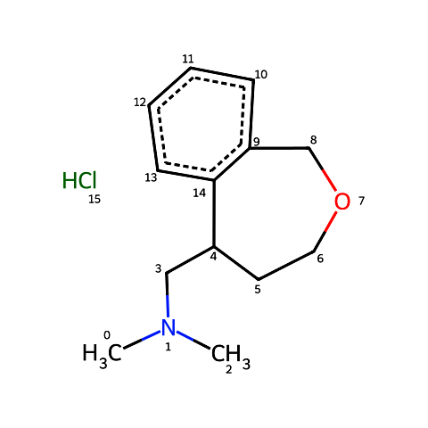 CN(C)CC1CCOCc2ccccc21.Cl